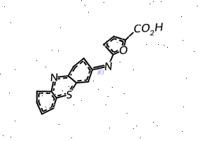 O=C(O)c1ccc(/N=c2\ccc3nc4ccccc4sc-3c2)o1